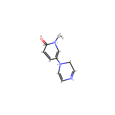 Cn1cc(N2C=CN=CC2)ccc1=O